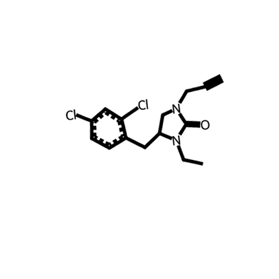 C#CCN1CC(Cc2ccc(Cl)cc2Cl)N(CC)C1=O